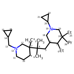 CCC1C(CC(C)(C)C2(C)CCCN(CC3CC3)C2)CN(C2CC2)CC1(CC)C(C)C